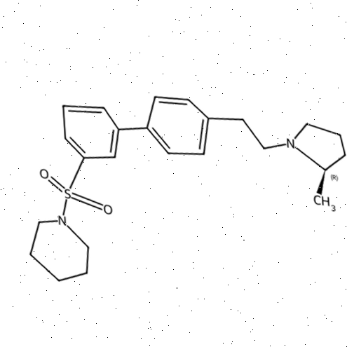 C[C@@H]1CCCN1CCc1ccc(-c2cccc(S(=O)(=O)N3CCCCC3)c2)cc1